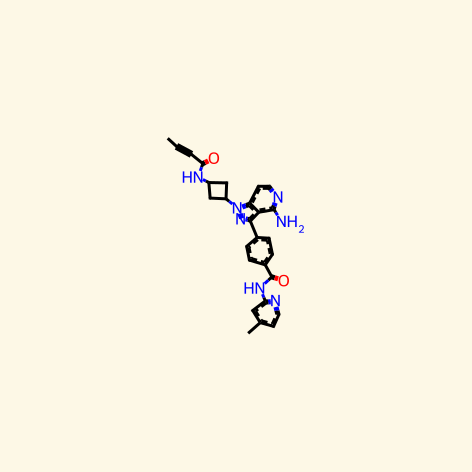 CC#CC(=O)NC1CC(n2nc(-c3ccc(C(=O)Nc4cc(C)ccn4)cc3)c3c(N)nccc32)C1